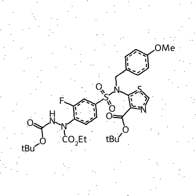 CCOC(=O)N(NC(=O)OC(C)(C)C)c1ccc(S(=O)(=O)N(Cc2ccc(OC)cc2)c2scnc2C(=O)OC(C)(C)C)cc1F